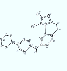 CCn1nc2c(c1C(C)C)-c1nc(Nc3ccc(N4CCNCC4)cn3)ncc1CC2